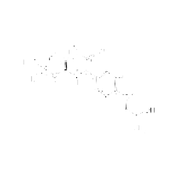 CC(O)COc1ccc(C(NC(=O)OC(C)(C)C)C(=O)O)cc1